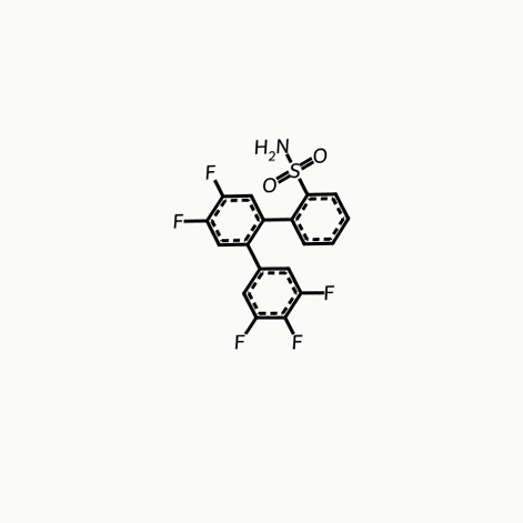 NS(=O)(=O)c1ccccc1-c1cc(F)c(F)cc1-c1cc(F)c(F)c(F)c1